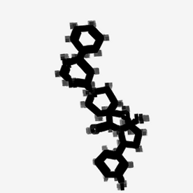 O=C1N2C(c3cccc(F)c3)CC[C@H]2OC12CCN(c1cc(-c3ccccc3)ncn1)CC2